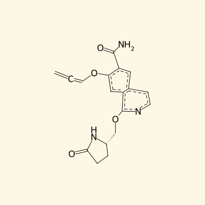 C=C=COc1cc2c(OC[C@@H]3CCC(=O)N3)nccc2cc1C(N)=O